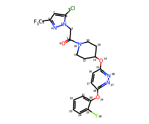 O=C(Cn1nc(C(F)(F)F)cc1Cl)N1CCC(Oc2ccc(Oc3ccccc3F)nn2)CC1